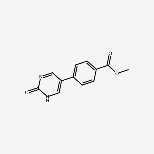 COC(=O)c1ccc(-c2cnc(=O)[nH]c2)cc1